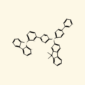 CC1(C)c2ccccc2-c2ccc(N(c3ccc(-c4ccccc4)cc3)c3ccc(-c4cccc(-n5c6ccccc6c6ccccc65)c4)cc3)cc21